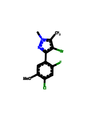 COc1cc(-c2nn(C)c(C(F)(F)F)c2Br)c(F)cc1Cl